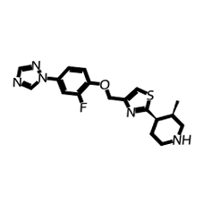 C[C@H]1CNCC[C@H]1c1nc(COc2ccc(-n3cncn3)cc2F)cs1